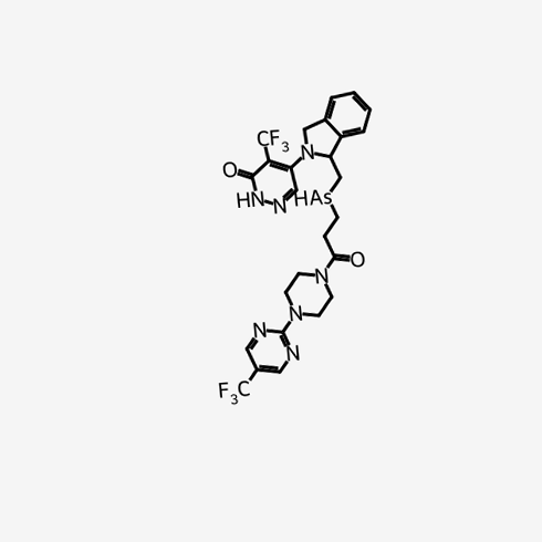 O=C(CC[AsH]CC1c2ccccc2CN1c1cn[nH]c(=O)c1C(F)(F)F)N1CCN(c2ncc(C(F)(F)F)cn2)CC1